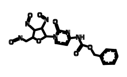 O=NCC1OC(n2ccc(NC(=O)OCc3ccccc3)nc2=O)C(N=O)C1N=O